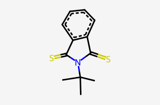 CC(C)(C)N1C(=S)c2ccccc2C1=S